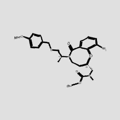 COc1ccc(COC[C@H](C)N2CC[C@@H](CN(C)C(=O)OC(C)(C)C)Oc3c(N)cccc3C2=O)cc1